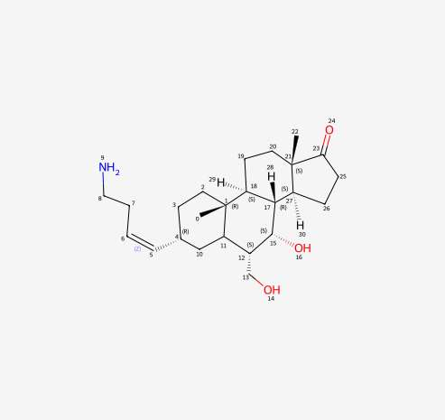 C[C@]12CC[C@@H](/C=C\CCN)CC1[C@@H](CO)[C@@H](O)[C@@H]1[C@@H]2CC[C@]2(C)C(=O)CC[C@@H]12